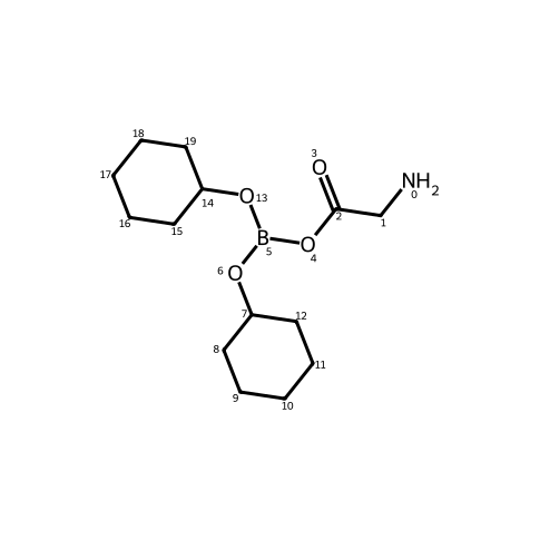 NCC(=O)OB(OC1CCCCC1)OC1CCCCC1